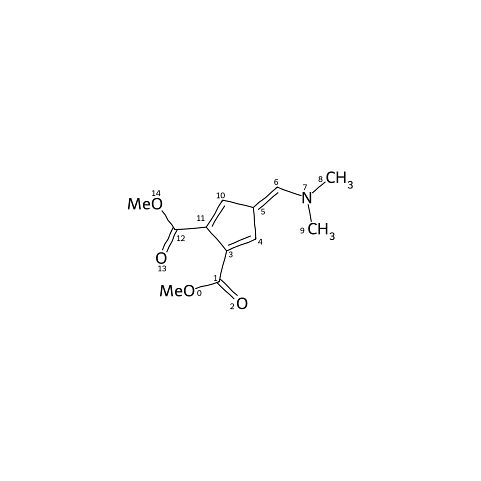 COC(=O)C1=CC(=CN(C)C)C=C1C(=O)OC